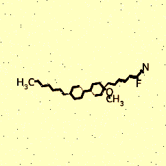 CCCCCCC[C@H]1CC[C@H]([C@H]2CC[C@@](CCC=CC=C(F)C#N)(OC)CC2)CC1